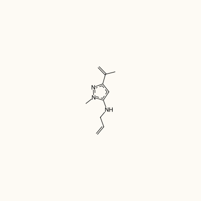 C=CCNc1cc(C(=C)C)nn1C